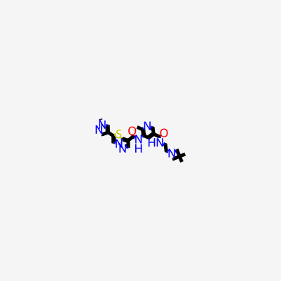 Cc1ncc(C(=O)NCCN2CC(C)(C)C2)cc1NC(=O)c1cnn2cc(-c3cnn(C)c3)sc12